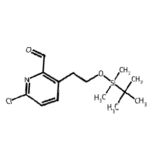 CC(C)(C)[Si](C)(C)OCCc1ccc(Cl)nc1C=O